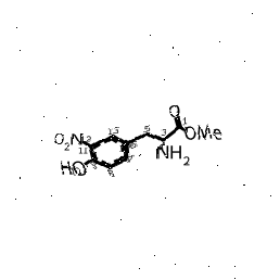 COC(=O)[C@H](N)Cc1ccc(O)c([N+](=O)[O-])c1